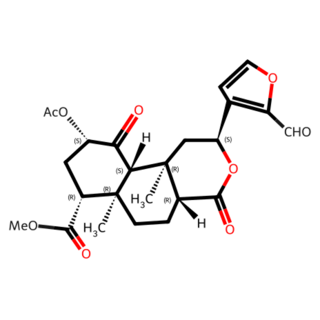 COC(=O)[C@@H]1C[C@H](OC(C)=O)C(=O)[C@H]2[C@@]1(C)CC[C@H]1C(=O)O[C@H](c3ccoc3C=O)C[C@]21C